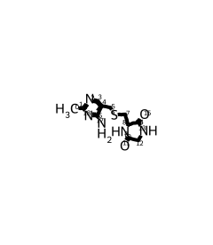 Cc1ncc(CSCC2NC(=O)CNC2=O)c(N)n1